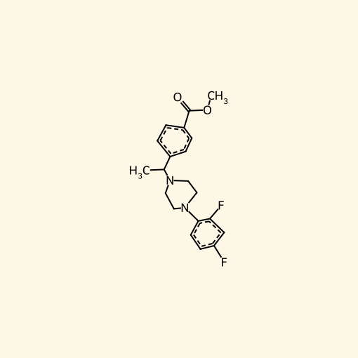 COC(=O)c1ccc(C(C)N2CCN(c3ccc(F)cc3F)CC2)cc1